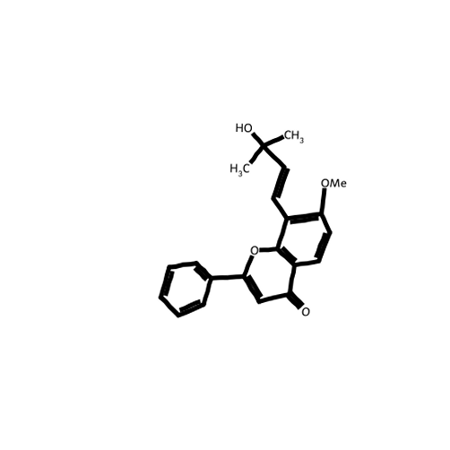 COc1ccc2c(=O)cc(-c3ccccc3)oc2c1/C=C/C(C)(C)O